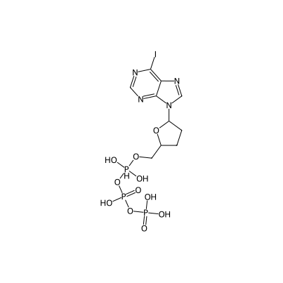 O=P(O)(O)OP(=O)(O)O[PH](O)(O)OCC1CCC(n2cnc3c(I)ncnc32)O1